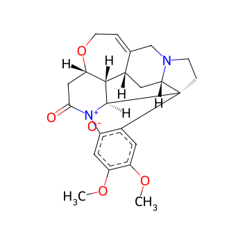 COc1cc2c(cc1OC)[N+]1([O-])C(=O)C[C@@H]3OCC=C4CN5CC[C@]26[C@@H]5C[C@@H]4[C@@H]3[C@@H]61